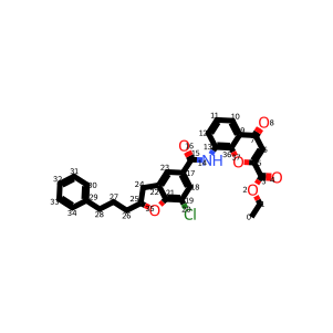 CCOC(=O)c1cc(=O)c2cccc(NC(=O)c3cc(Cl)c4c(c3)CC(CCCc3ccccc3)O4)c2o1